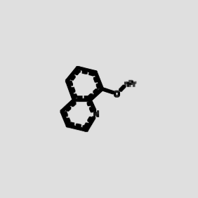 CCCOc1cccc2cccnc12